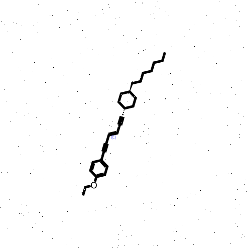 CCCCCCC[C@H]1CC[C@H](C#C/C=C/C#Cc2ccc(OCC)cc2)CC1